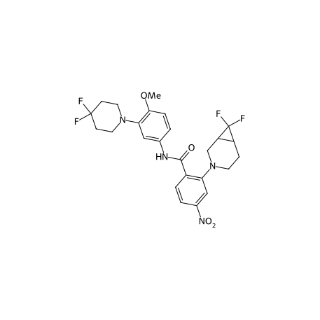 COc1ccc(NC(=O)c2ccc([N+](=O)[O-])cc2N2CCC3C(C2)C3(F)F)cc1N1CCC(F)(F)CC1